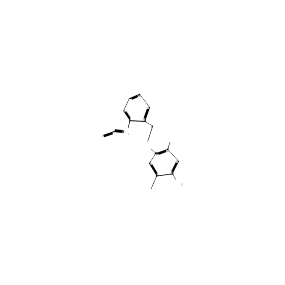 Cc1cc(OCc2ccccc2N=C=O)c(Cl)cc1O